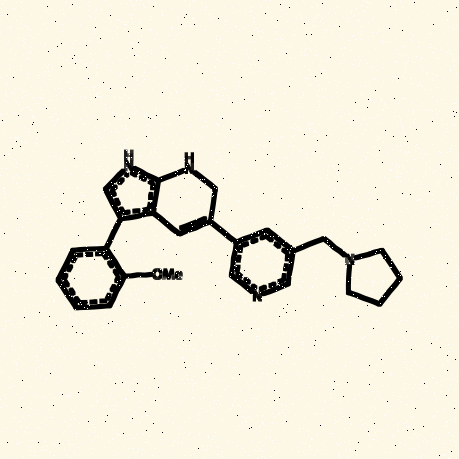 COc1ccccc1-c1c[nH]c2c1C=C(c1cncc(CN3CCCC3)c1)CN2